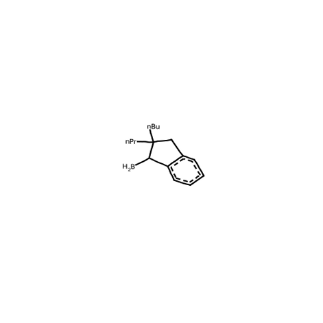 BC1c2ccccc2CC1(CCC)CCCC